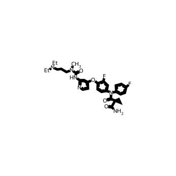 CCN(CC)CCCN(C)C(=O)Nc1cc(Oc2ccc(N(C(=O)C3(C(N)=O)CC3)c3ccc(F)cc3)cc2F)ccn1